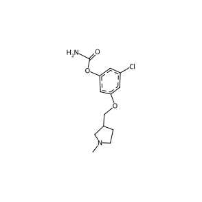 CN1CCC(COc2cc(Cl)cc(OC(N)=O)c2)C1